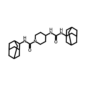 O=C(NC1CCN(C(=O)NC2C3CC4CC(C3)CC2C4)CC1)NC12CC3CC(CC(C3)C1)C2